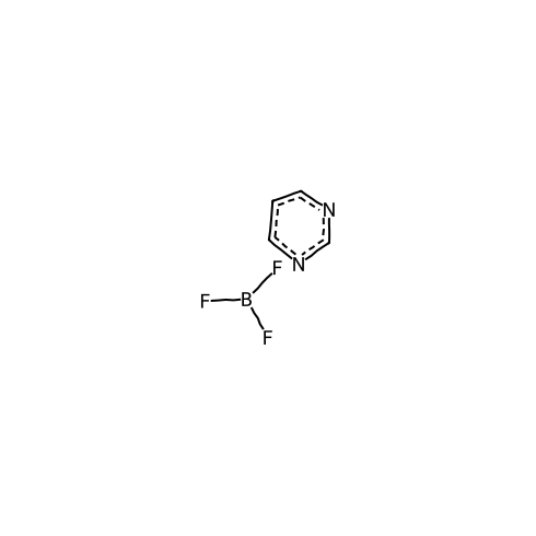 FB(F)F.c1cncnc1